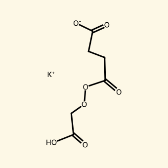 O=C([O-])CCC(=O)OOCC(=O)O.[K+]